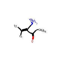 CCC(CC)=C(N)C(=O)OC